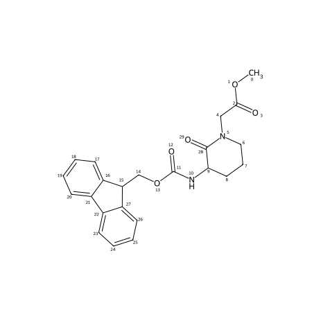 COC(=O)CN1CCCC(NC(=O)OCC2c3ccccc3-c3ccccc32)C1=O